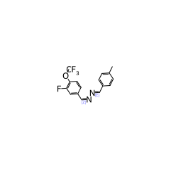 Cc1ccc(/C=N/N=C\c2ccc(OC(F)(F)F)c(F)c2)cc1